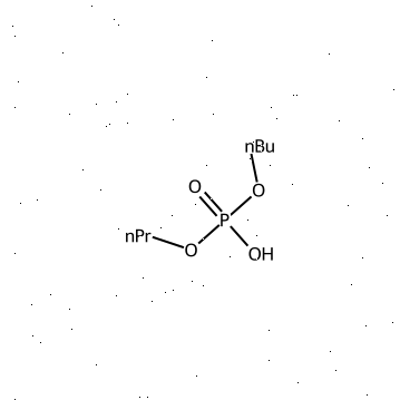 CCCCOP(=O)(O)OCCC